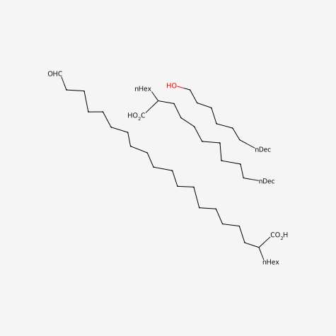 CCCCCCC(CCCCCCCCCCCCCCCCCC=O)C(=O)O.CCCCCCCCCCCCCCCCCCC(CCCCCC)C(=O)O.CCCCCCCCCCCCCCCCO